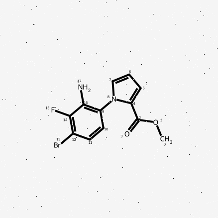 COC(=O)c1cccn1-c1ccc(Br)c(F)c1N